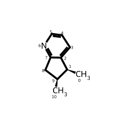 C[C@@H]1c2cccnc2C[C@@H]1C